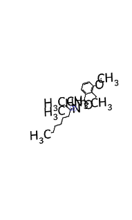 CCCCCC/C(=N/NC(=O)c1cccc(OC)c1CC)C(C)(C)C